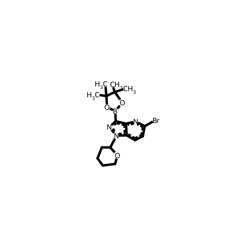 CC1(C)OB(c2nn(C3CCCCO3)c3ccc(Br)nc23)OC1(C)C